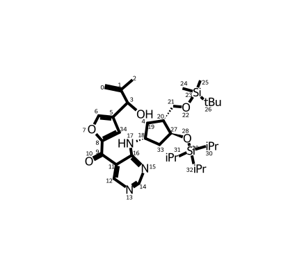 C=C(C)C(O)c1coc(C(=O)c2cncnc2N[C@@H]2C[C@H](CO[Si](C)(C)C(C)(C)C)[C@@H](O[Si](C(C)C)(C(C)C)C(C)C)C2)c1